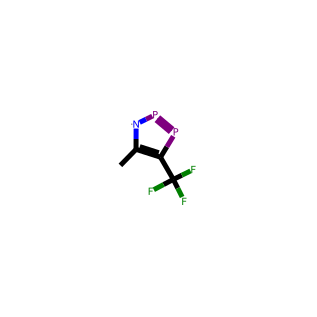 CC1=C(C(F)(F)F)P=P[N]1